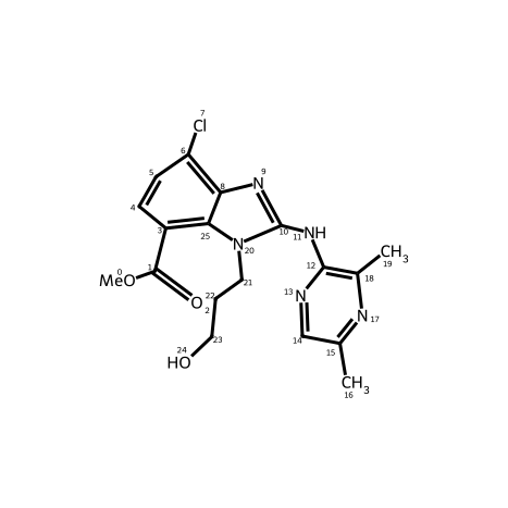 COC(=O)c1ccc(Cl)c2nc(Nc3ncc(C)nc3C)n(CCCO)c12